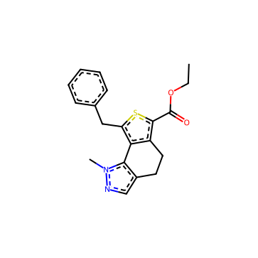 CCOC(=O)c1sc(Cc2ccccc2)c2c1CCc1cnn(C)c1-2